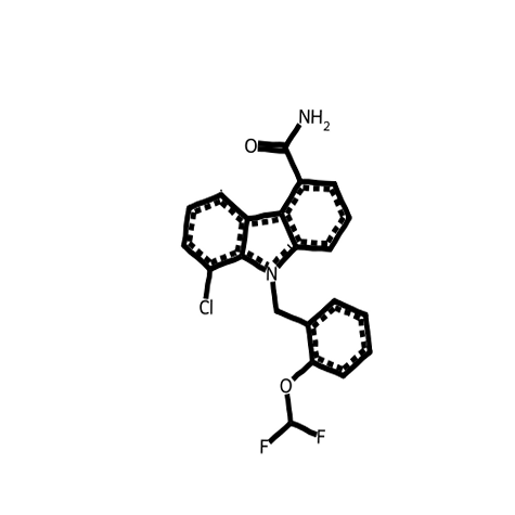 NC(=O)c1cccc2c1c1[c]ccc(Cl)c1n2Cc1ccccc1OC(F)F